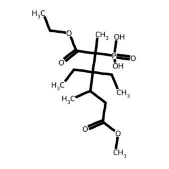 CCOC(=O)C(C)(C(CC)(CC)C(C)CC(=O)OC)P(=O)(O)O